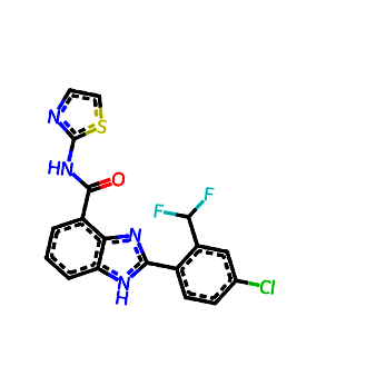 O=C(Nc1nccs1)c1cccc2[nH]c(-c3ccc(Cl)cc3C(F)F)nc12